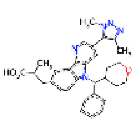 Cc1nnn(C)c1-c1cnc2c3cc(CC(C)C(=O)O)ccc3n(C(c3ccccc3)C3CCOCC3)c2c1